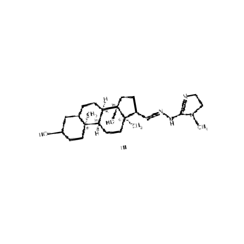 CN1CCN=C1NN=CC1CC[C@@]2(O)[C@@H]3CCC4CC(O)CC[C@]4(C)[C@@H]3CC[C@]12C.I